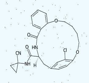 N#CC1(NC(=O)[C@@H]2Cc3ccc(c(Cl)c3)OCCCCOc3ccccc3C(=O)N2)CC1